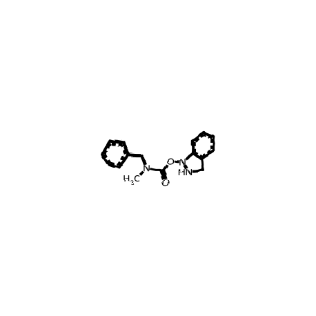 CN(Cc1ccccc1)C(=O)ON1NCc2ccccc21